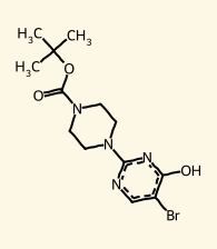 CC(C)(C)OC(=O)N1CCN(c2ncc(Br)c(O)n2)CC1